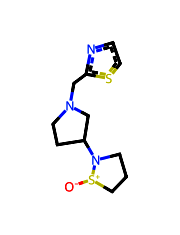 [O-][S+]1CCCN1C1CCN(Cc2nccs2)C1